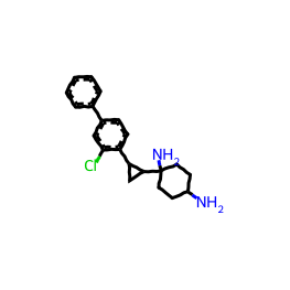 NC1CCC(N)(C2CC2c2ccc(-c3ccccc3)cc2Cl)CC1